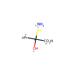 CCCC(O)(S)C(=O)O.N